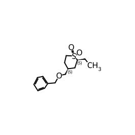 CC[C@H]1C[C@@H](COCc2ccccc2)CCS1(=O)=O